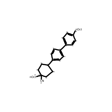 CCCCCCCCc1ccc(-c2ccc(C3CCC(C#N)(CCCCCCCC)CC3)cc2)cc1